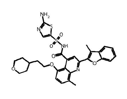 Cc1c(-c2cc(C(=O)NS(=O)(=O)c3cnc(N)s3)c3c(OCCC4CCOCC4)ccc(C)c3n2)oc2ccccc12